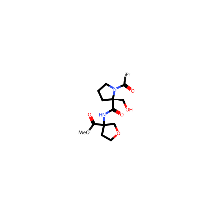 COC(=O)C1(NC(=O)[C@]2(CO)CCCN2C(=O)C(C)C)CCOC1